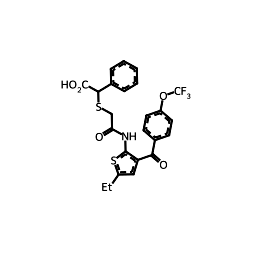 CCc1cc(C(=O)c2ccc(OC(F)(F)F)cc2)c(NC(=O)CSC(C(=O)O)c2ccccc2)s1